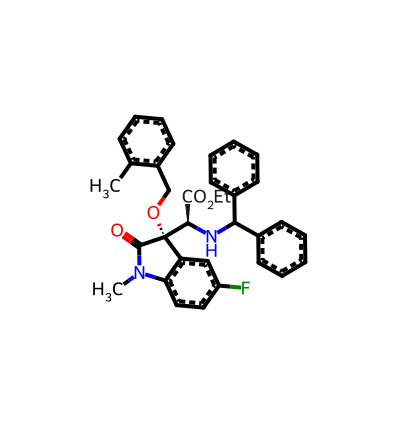 CCOC(=O)[C@@H](NC(c1ccccc1)c1ccccc1)[C@]1(OCc2ccccc2C)C(=O)N(C)c2ccc(F)cc21